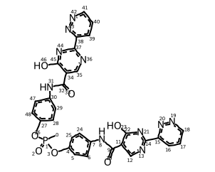 CP(=O)(Oc1ccc(NC(=O)c2cnc(-c3cccnn3)nc2O)cc1)Oc1ccc(NC(=O)c2cnc(-c3cccnn3)nc2O)cc1